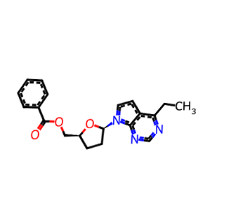 CCc1ncnc2c1ccn2[C@H]1CC[C@@H](COC(=O)c2ccccc2)O1